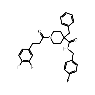 O=C(CCc1ccc(F)c(F)c1)N1CCC(Cc2ccccc2)(C(=O)NCc2ccc(F)cc2)CC1